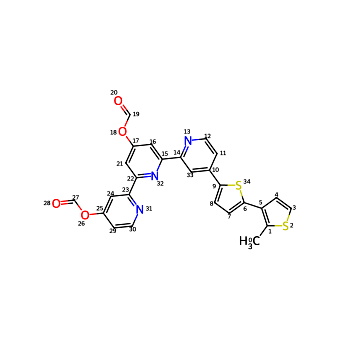 Cc1sccc1-c1ccc(-c2ccnc(-c3cc(OC=O)cc(-c4cc(OC=O)ccn4)n3)c2)s1